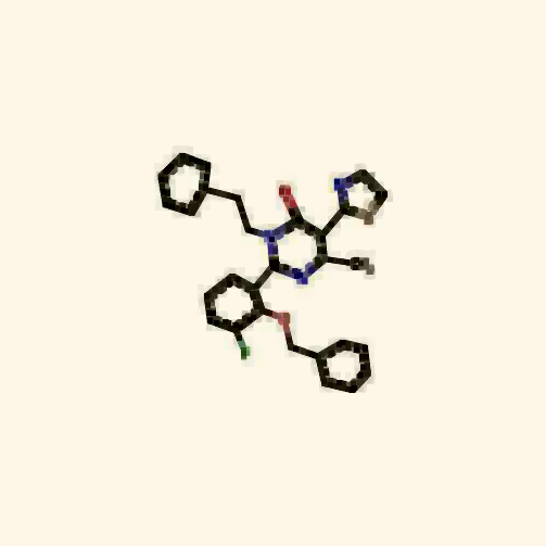 Cc1nc(-c2cccc(F)c2OCc2ccccc2)n(CCc2ccccc2)c(=O)c1-c1nccs1